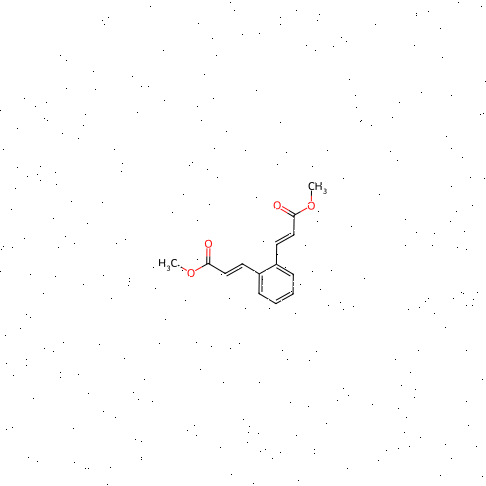 COC(=O)C=Cc1ccccc1C=CC(=O)OC